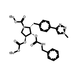 Cn1cc(-c2ccc(C[C@@H]3[C@H](OC(=O)NCc4ccccc4)[C@@H](OC(=O)OC(C)(C)C)CN3C(=O)OC(C)(C)C)cc2)nn1